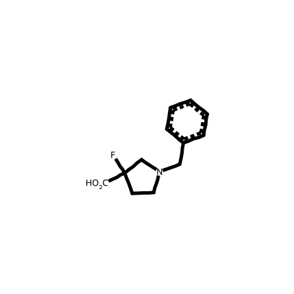 O=C(O)C1(F)CCN(Cc2ccccc2)C1